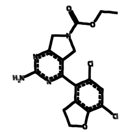 CCOC(=O)N1Cc2nc(N)nc(-c3c(Cl)cc(Cl)c4c3CCO4)c2C1